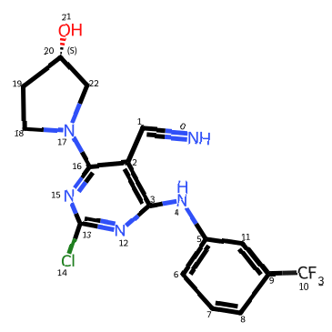 N=Cc1c(Nc2cccc(C(F)(F)F)c2)nc(Cl)nc1N1CC[C@H](O)C1